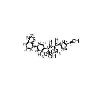 C#Cc1nc(NC(=O)NC(c2ccc(-c3cccc4ncsc34)cc2)C(C)(C)O)cs1